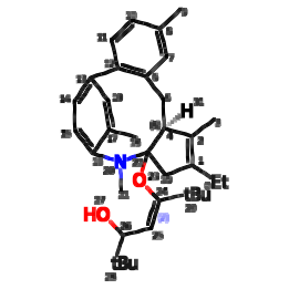 CCC1=C(C)[C@@H]2Cc3cc(C)ccc3-c3ccc(c(C)c3)N(C)C2(O/C(=C\C(O)C(C)(C)C)C(C)(C)C)C1